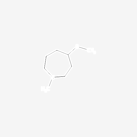 CSC1CCCN(C)CC1